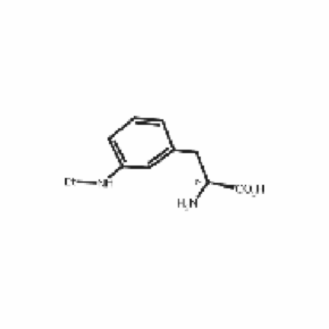 CCNc1cccc(C[C@H](N)C(=O)O)c1